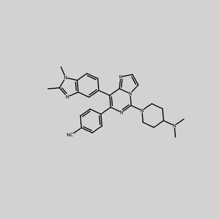 Cc1nc2cc(-c3c(-c4ccc(C#N)cc4)nc(N4CCC(N(C)C)CC4)n4ccnc34)ccc2n1C